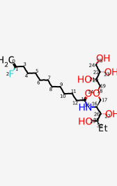 C=C(F)CCCCCCCCCCC(=O)N[C@@H](COC[C@H](O)[C@@H](O)CO)[C@H](O)[C@H](O)CC